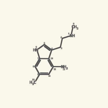 CNCCc1c[nH]c2cc(C)cc(N)c12